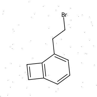 BrCCc1cccc2c1C=C2